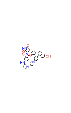 O=C1CCC(N2C(=O)c3ccc(NC4CCCN(CC5CCN(c6ccc([C@@H]7c8ccc(O)cc8CC[C@@H]7c7ccccc7)cc6)CC5)C4)cc3C2=O)C(=O)N1